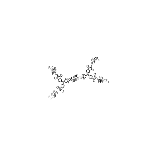 O=C1c2ccc(N(c3cnc(OCC(F)(F)C(F)(F)C(F)(F)C(F)(F)COc4ncc(N(c5ccc6c(c5)C(=O)N(CCC(F)(F)C(F)(F)C(F)(F)C(F)(F)F)C6=O)c5ccc6c(c5)C(=O)N(CCC(F)(F)C(F)(F)C(F)(F)C(F)(F)F)C6=O)cn4)nc3)c3ccc4c(c3)C(=O)N(CCC(F)(F)C(F)(F)C(F)(F)C(F)(F)F)C4=O)cc2C(=O)N1CCC(F)(F)C(F)(F)C(F)(F)C(F)(F)F